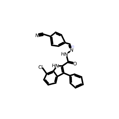 N#Cc1ccc(/C=N\NC(=O)c2[nH]c3c(Cl)cccc3c2-c2ccccc2)cc1